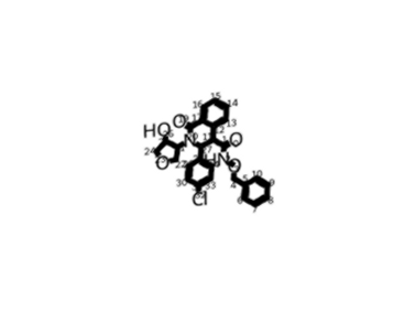 O=C(NOCc1ccccc1)C1c2ccccc2C(=O)N(C2COCC2O)C1c1ccc(Cl)cc1